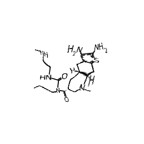 CCCN(C(=O)NCCNC)C(=O)[C@@H]1C[C@@H]2Cc3c(sc(N)c3N)C[C@H]2N(C)C1